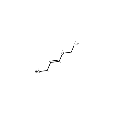 CCCCOC=CCO